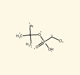 CC(C)C(C)(C)OP(=O)(O)CCl